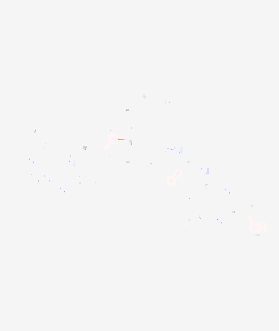 CN1CCCC1(C)c1nnc2ccc(O[C@@H]3CC[C@H](NC(=O)Nc4cc(C(C)(C)C)nc(CO)n4)c4ccccc43)cn12